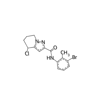 Cc1c(Br)cccc1NC(=O)c1cc2n(n1)CCCC2Cl